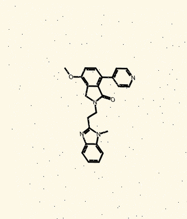 COc1ccc(-c2ccncc2)c2c1CN(CCc1nc3ccccc3n1C)C2=O